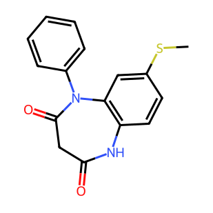 CSc1ccc2c(c1)N(c1ccccc1)C(=O)CC(=O)N2